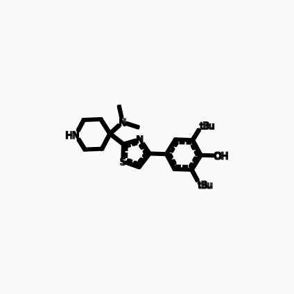 CN(C)C1(c2nc(-c3cc(C(C)(C)C)c(O)c(C(C)(C)C)c3)cs2)CCNCC1